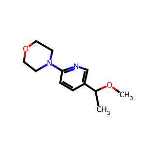 COC(C)c1ccc(N2CCOCC2)nc1